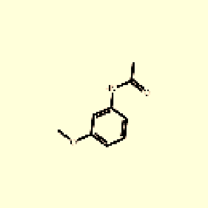 COc1[c]c(NC(C)=O)ccc1